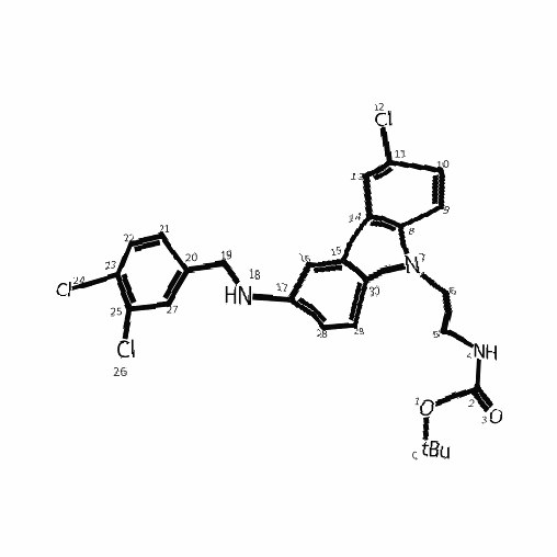 CC(C)(C)OC(=O)NCCn1c2ccc(Cl)cc2c2cc(NCc3ccc(Cl)c(Cl)c3)ccc21